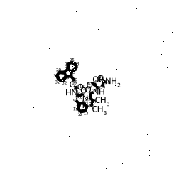 CC[C@H](C)[C@H](NC(=O)[C@H](Cc1ccccc1)NC(=O)OCC1c2ccccc2-c2ccccc21)C(=O)N[C@@H](CC(N)=O)C(=O)O